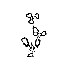 c1ccc(-c2nc(-c3ccccc3)nc(-c3cccc(-n4c5ccccc5c5c6ccc(-c7ccc8c9ccccc9n(-c9ccccc9)c8c7)cc6ccc54)c3)n2)cc1